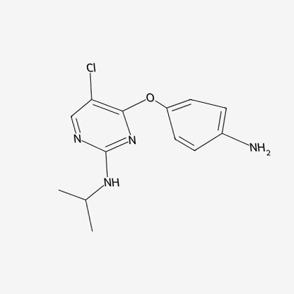 CC(C)Nc1ncc(Cl)c(Oc2ccc(N)cc2)n1